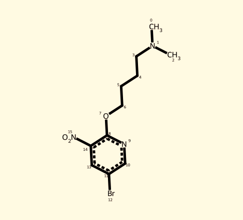 CN(C)CCCCOc1ncc(Br)cc1[N+](=O)[O-]